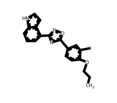 CCCOc1ccc(-c2nc(-c3cccc4[nH]ccc34)no2)cc1I